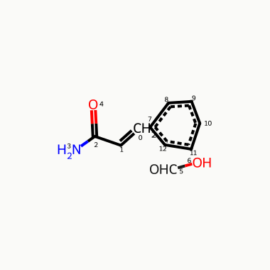 C=CC(N)=O.O=CO.c1ccccc1